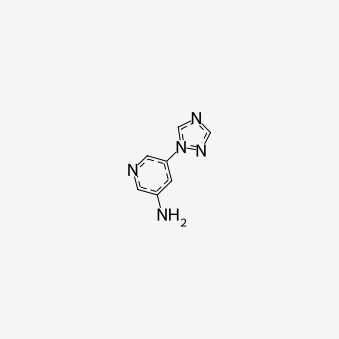 Nc1cncc(-n2cncn2)c1